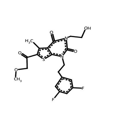 COCC(=O)c1sc2c(c1C)c(=O)n(CCO)c(=O)n2CCc1cc(F)cc(F)c1